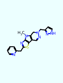 Cn1c2c(c3sc(Cc4ccccn4)nc31)C=NN(Cc1cc[nH]n1)C2